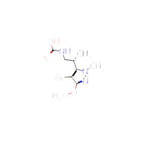 COc1nn(C)c(C(C)CNC(=O)O)c1Br